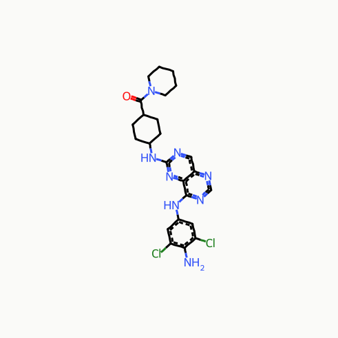 Nc1c(Cl)cc(Nc2ncnc3cnc(NC4CCC(C(=O)N5CCCCC5)CC4)nc23)cc1Cl